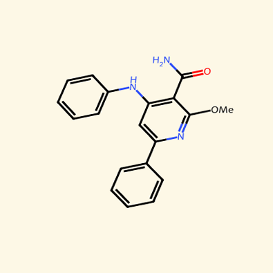 COc1nc(-c2ccccc2)cc(Nc2ccccc2)c1C(N)=O